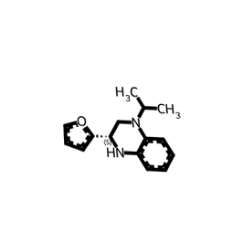 CC(C)N1C[C@@H](c2ccco2)Nc2ccccc21